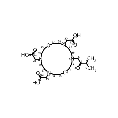 CC(C)C(=O)CN1CCOCCN(CC(=O)O)CCN(CC(=O)O)CCOCCN(CC(=O)O)CC1